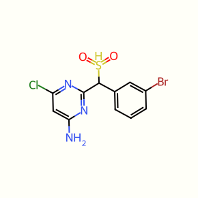 Nc1cc(Cl)nc(C(c2cccc(Br)c2)[SH](=O)=O)n1